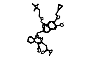 COC(=O)Cc1nn(Cc2cc3cc(Cl)c(OCC4CC4)cc3n2COCC[Si](C)(C)C)c2ccccc2c1=O